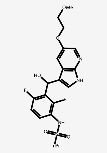 CCCS(=O)(=O)Nc1ccc(F)c(C(O)c2c[nH]c3ncc(OCCOC)cc23)c1F